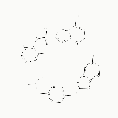 CC(Oc1ccc(Oc2nc3ccc(Cl)cc3o2)cc1)C(=O)O.COc1ncc(F)c2nc(S(=O)(=O)Nc3c(F)cccc3F)nn12